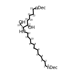 CCCCCCCCCCCCCCCCCCCCCCN[C@@H](CO)[C@H](O)CCCCCCCCCCCCCCC